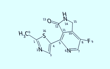 Cc1ncc(-c2ncc(F)c3c2C(=O)NC3)s1